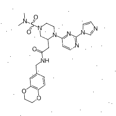 CN(C)S(=O)(=O)N1CCN(c2ccnc(-n3ccnc3)n2)C(CC(=O)NCc2ccc3c(c2)OCCO3)C1